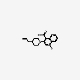 C=CCC1CCN(c2cc(Br)c3ccccc3c2C(=O)O)CC1